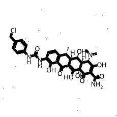 C[C@H]1c2ccc(NC(=O)Nc3ccc(CCl)cc3)c(O)c2C(=O)C2=C(O)[C@]3(O)C(=O)C(C(N)=O)=C(O)[C@@H](N(C)C)[C@@H]3[C@@H](O)[C@@H]21